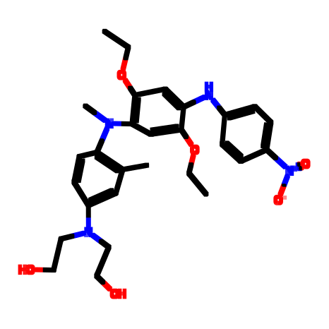 CCOc1cc(N(C)c2ccc(N(CCO)CCO)cc2C)c(OCC)cc1Nc1ccc([N+](=O)[O-])cc1